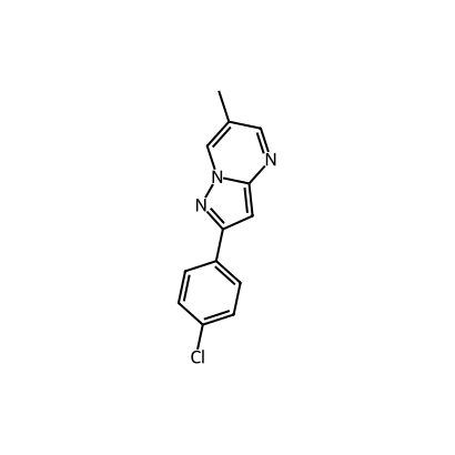 Cc1cnc2cc(-c3ccc(Cl)cc3)nn2c1